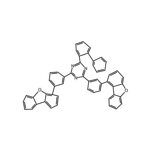 c1ccc(-c2ccccc2-c2nc(-c3cccc(-c4cccc5c4oc4ccccc45)c3)nc(-c3cccc(-c4cccc5oc6ccccc6c45)c3)n2)cc1